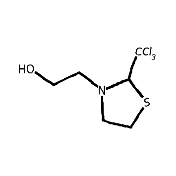 OCCN1CCSC1C(Cl)(Cl)Cl